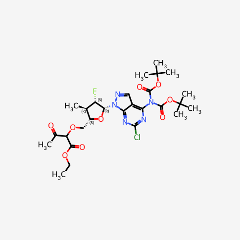 CCOC(=O)C(OC[C@H]1O[C@@H](n2ncc3c(N(C(=O)OC(C)(C)C)C(=O)OC(C)(C)C)nc(Cl)nc32)[C@@H](F)[C@@H]1C)C(C)=O